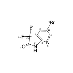 O=C1Nc2ncc(Br)cc2C1(F)F